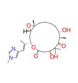 C/C(=C\c1cn(C)cn1)[C@@H]1C[C@@H]2O[C@]2(C)CCCC[C@H](O)[C@@H](C)C(=O)C(C)(C)[C@@H](O)CC(=O)O1